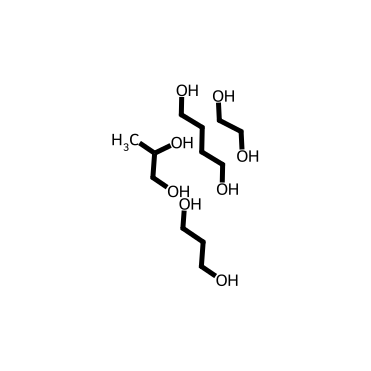 CC(O)CO.OCCCCO.OCCCO.OCCO